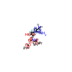 CC(C)C[C@H](NP(=O)(OCOC(=O)OC(C)C)OC[C@H]1O[C@@H](n2cnc3c(N(C)C)nc(N)nc32)[C@](C)(F)[C@@H]1O)C(=O)OC(C)C